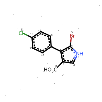 O=C(O)c1c[nH]c(Br)c1-c1ccc(Cl)cc1